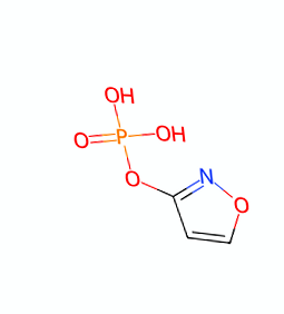 O=P(O)(O)Oc1ccon1